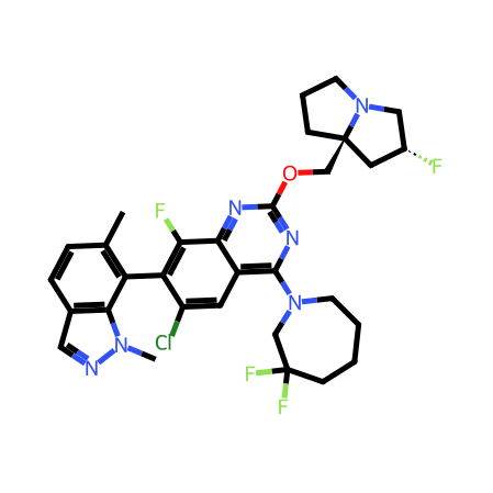 Cc1ccc2cnn(C)c2c1-c1c(Cl)cc2c(N3CCCCC(F)(F)C3)nc(OC[C@@]34CCCN3C[C@H](F)C4)nc2c1F